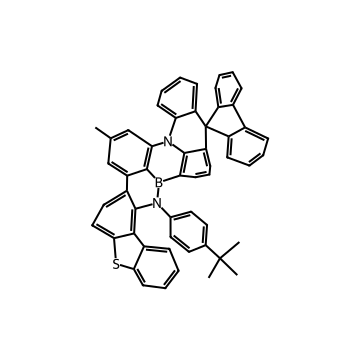 Cc1cc2c3c(c1)N1c4ccccc4C4(c5ccccc5-c5ccccc54)c4cccc(c41)B3N(c1ccc(C(C)(C)C)cc1)c1c-2ccc2sc3ccccc3c12